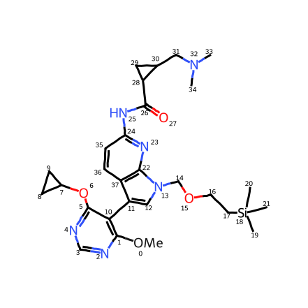 COc1ncnc(OC2CC2)c1-c1cn(COCC[Si](C)(C)C)c2nc(NC(=O)C3CC3CN(C)C)ccc12